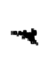 CCC[C@H](c1ccc(C(=O)NCCC(=O)O)cc1)N1C(=O)C(c2cccc(F)c2)=NC12CCC(C)CC2